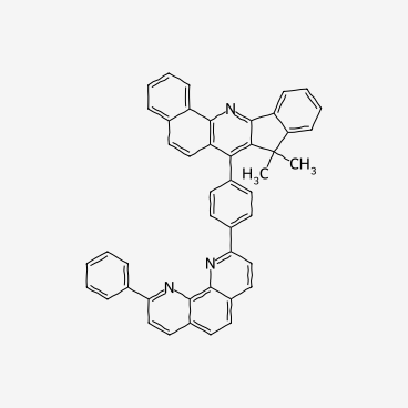 CC1(C)c2ccccc2-c2nc3c(ccc4ccccc43)c(-c3ccc(-c4ccc5ccc6ccc(-c7ccccc7)nc6c5n4)cc3)c21